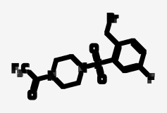 O=C(N1CCN(S(=O)(=O)c2cc(F)ccc2CBr)CC1)C(F)(F)F